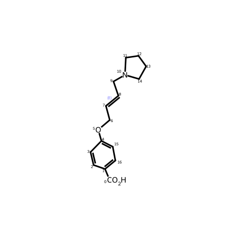 O=C(O)c1ccc(OC/C=C/CN2CCCC2)cc1